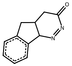 O=C1CC2Cc3ccccc3C2N=N1